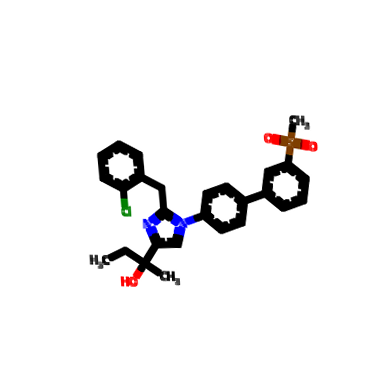 CCC(C)(O)c1cn(-c2ccc(-c3cccc(S(C)(=O)=O)c3)cc2)c(Cc2ccccc2Cl)n1